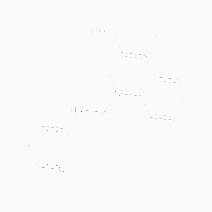 O=C(O)c1cn(C(=O)Nc2ccc(Cl)nc2)c2ccccc2c1=O